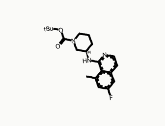 Cc1cc(F)cc2ccnc(N[C@@H]3CCCN(C(=O)OC(C)(C)C)C3)c12